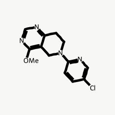 COc1ncnc2c1CN(c1ccc(Cl)cn1)CC2